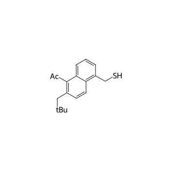 CC(=O)c1c(CC(C)(C)C)ccc2c(CS)cccc12